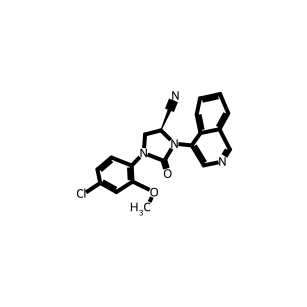 COc1cc(Cl)ccc1N1C[C@@H](C#N)N(c2cncc3ccccc23)C1=O